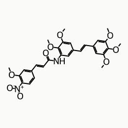 COc1cc(/C=C/C(=O)Nc2cc(/C=C/c3cc(OC)c(OC)c(OC)c3)cc(OC)c2OC)ccc1[N+](=O)[O-]